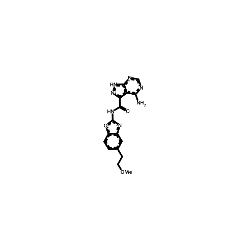 COCCc1ccc2oc(NC(=O)c3n[nH]c4ncnc(N)c34)nc2c1